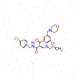 [CH2]C1Cn2cc(C(=O)NCc3ccc(Cl)cc3)c(=O)c3cc(CN4CCOCC4)cc(c32)O1